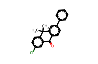 CC1(C)c2ccc(Cl)cc2C(=O)c2ccc(-c3ccccc3)cc21